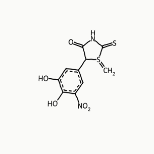 C=S1C(=S)NC(=O)C1c1cc(O)c(O)c([N+](=O)[O-])c1